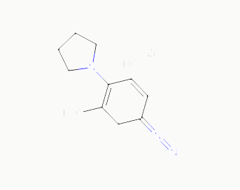 CC1=C(N2CCCC2)C=CC(=[N+]=[N-])C1.Cl.[Zn+2]